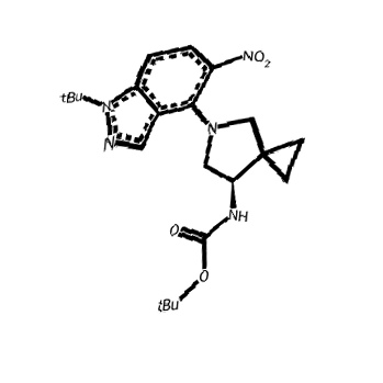 CC(C)(C)OC(=O)N[C@H]1CN(c2c([N+](=O)[O-])ccc3c2cnn3C(C)(C)C)CC12CC2